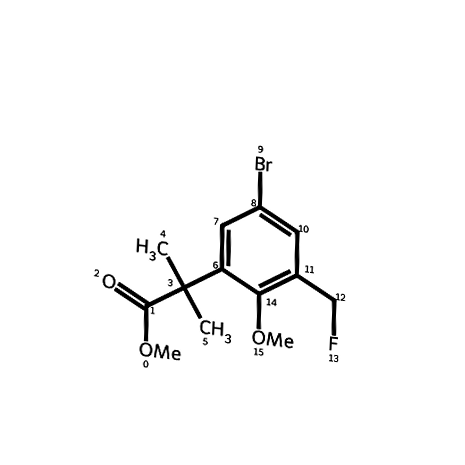 COC(=O)C(C)(C)c1cc(Br)cc(CF)c1OC